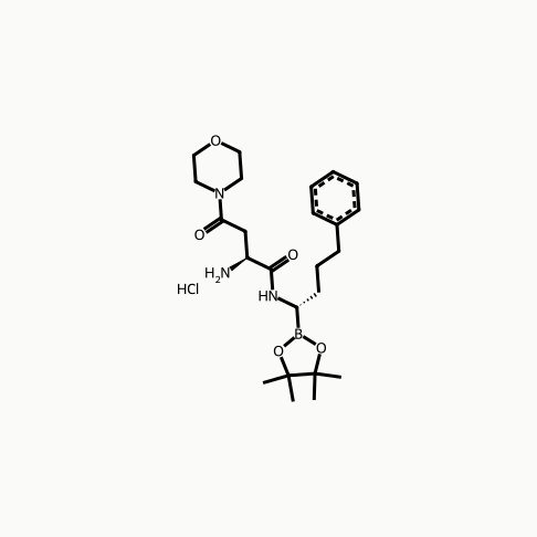 CC1(C)OB([C@@H](CCCc2ccccc2)NC(=O)[C@@H](N)CC(=O)N2CCOCC2)OC1(C)C.Cl